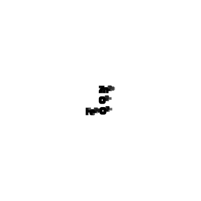 [Fe+2].[O-2].[O-2].[Zn+2]